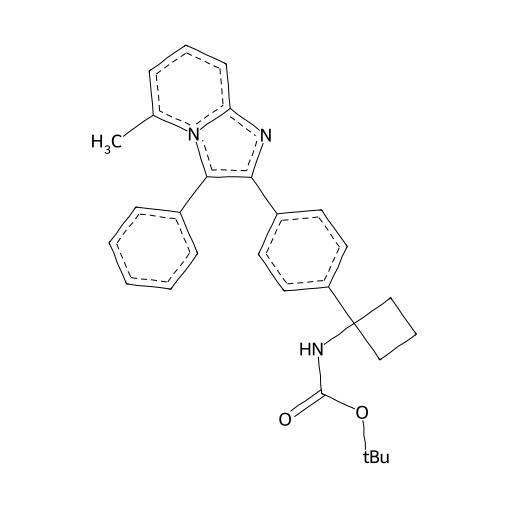 Cc1cccc2nc(-c3ccc(C4(NC(=O)OC(C)(C)C)CCC4)cc3)c(-c3ccccc3)n12